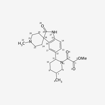 COC(=O)C(=O)N1CC(C)CCC1c1ccc2c(c1)C1(CCN(C)CC1)C(=O)N2